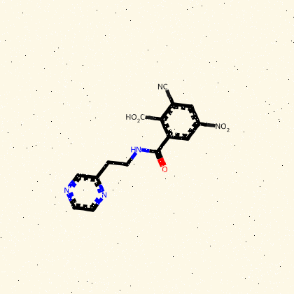 N#Cc1cc([N+](=O)[O-])cc(C(=O)NCCc2cnccn2)c1C(=O)O